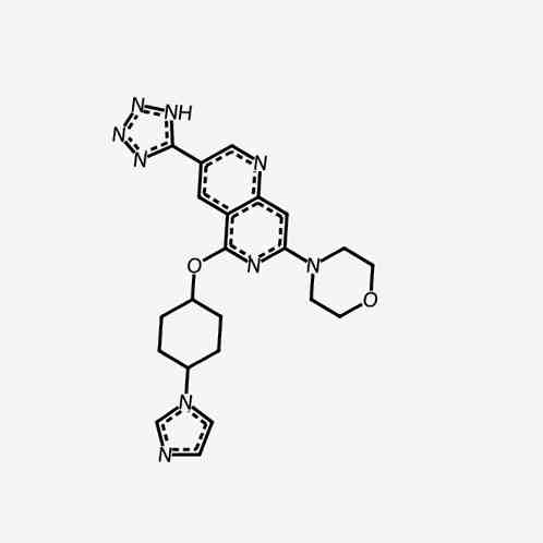 c1cn(C2CCC(Oc3nc(N4CCOCC4)cc4ncc(-c5nnn[nH]5)cc34)CC2)cn1